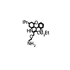 CCOC(=O)C1=C(COCCN)NC2=C(C(=O)CC(C(C)C)C2)C1c1ccccc1Cl